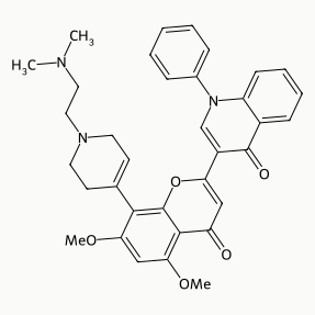 COc1cc(OC)c2c(=O)cc(-c3cn(-c4ccccc4)c4ccccc4c3=O)oc2c1C1=CCN(CCN(C)C)CC1